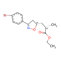 CCOC(=O)[C@@H](C)C[C@H]1CC(c2ccc(Br)cc2)=NO1